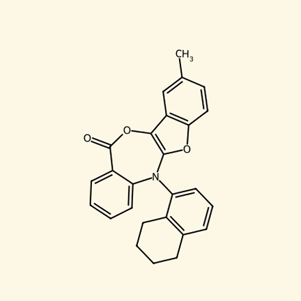 Cc1ccc2oc3c(c2c1)OC(=O)c1ccccc1N3c1cccc2c1CCCC2